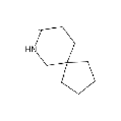 [CH]1CCC2(CCCC2)CN1